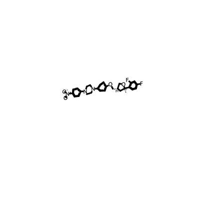 C[C@]1(c2ccc(F)cc2F)C[C@H](COc2ccc(N3CCN(c4ccc([N+](=O)[O-])cc4)CC3)cc2)CO1